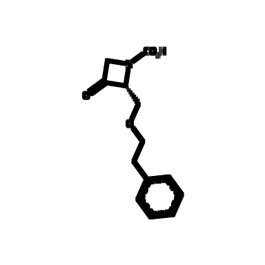 O=C1CN(C(=O)O)[C@@H]1COCCc1ccccc1